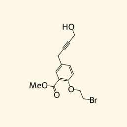 COC(=O)c1cc(CC#CCO)ccc1OCCBr